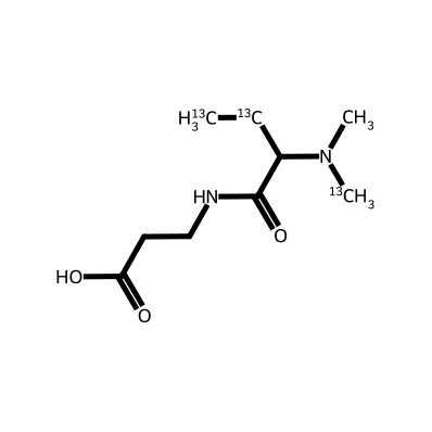 CN([13CH3])C([13CH2][13CH3])C(=O)NCCC(=O)O